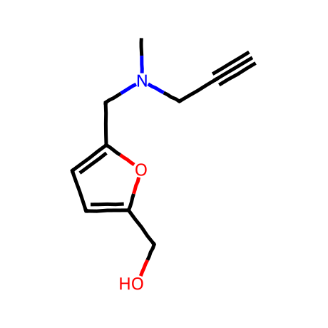 C#CCN(C)Cc1ccc(CO)o1